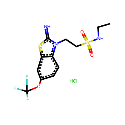 CCNS(=O)(=O)CCn1c(=N)sc2cc(OC(F)(F)F)ccc21.Cl